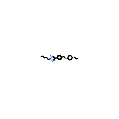 CCCCCc1ncc(-c2ccc(CC[C@H]3CC[C@H](CCC)CC3)cc2)c(F)n1